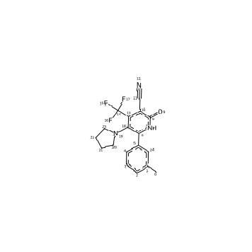 Cc1cccc(-c2[nH]c(=O)c(C#N)c(C(F)(F)F)c2N2CCCC2)c1